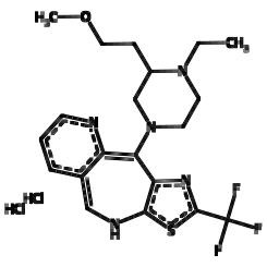 CCN1CCN(C2=c3ncccc3=CNc3sc(C(F)(F)F)nc32)CC1CCOC.Cl.Cl